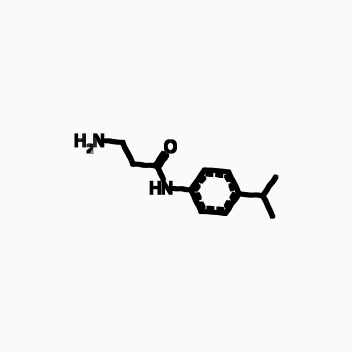 CC(C)c1ccc(NC(=O)CCN)cc1